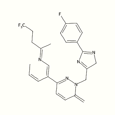 C=C1C=CC(C(/C=C\C)=C/N=C(\C)CCC(F)(F)F)=NN1CC1=NC(c2ccc(F)cc2)=NC1